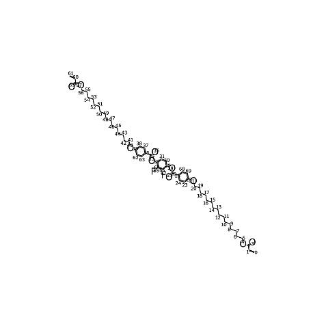 C=CC(=O)OCCCCCCCCCCCCCCCCOc1ccc(C(=O)Oc2ccc(OC(=O)c3ccc(OCCCCCCCCCCCCCCCCOC(=O)C=C)cc3)c(F)c2F)cc1